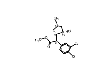 COC(=O)[C@H](c1ccc(Cl)c(Cl)c1)[C@@H]1C[C@@H](O)CN1.Cl